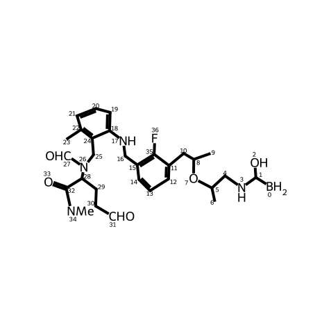 BC(O)NCC(C)OC(C)Cc1cccc(CNc2cccc(C)c2CN(C=O)C(CCC=O)C(=O)NC)c1F